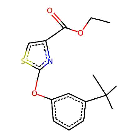 CCOC(=O)c1csc(Oc2cccc(C(C)(C)C)c2)n1